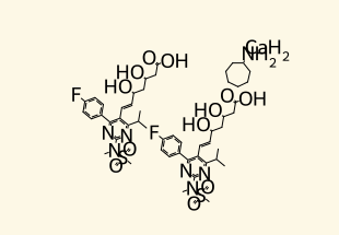 CC(C)c1nc(N(C)S(C)(=O)=O)nc(-c2ccc(F)cc2)c1C=C[C@@H](O)C[C@@H](O)CC(=O)O.CC(C)c1nc(N(C)S(C)(=O)=O)nc(-c2ccc(F)cc2)c1C=C[C@@H](O)C[C@@H](O)CC(=O)O.NC1CCCCCC1.[CaH2]